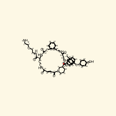 NCCOCCNC(=O)[C@@H]1CCNC(=O)/C=C/C(=O)N2CCC[C@](Cc3ccccc3)(C2)C(=O)N[C@@H](Cc2ccc(Oc3ccc(O)cc3)cc2)C(=O)NCc2ccccc2CC(=O)N1